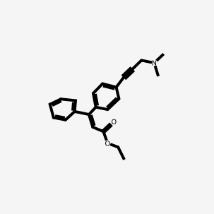 CCOC(=O)/C=C(/c1ccccc1)c1ccc(C#CCN(C)C)cc1